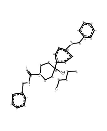 O=C(OCc1ccccc1)N1CCC(O)(c2ccc(OCc3ccccc3)cc2)CC1.[Li][CH2]CCC